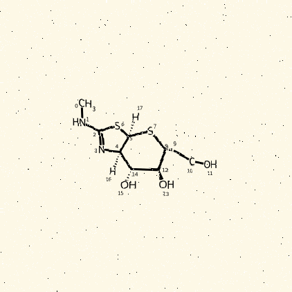 CNC1=N[C@H]2[C@@H](S1)S[C@H](CCO)[C@@H](O)[C@@H]2O